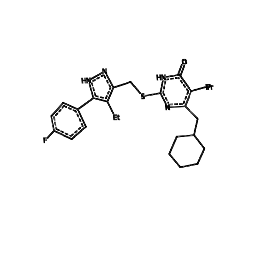 CCc1c(CSc2nc(CC3CCCCC3)c(C(C)C)c(=O)[nH]2)n[nH]c1-c1ccc(F)cc1